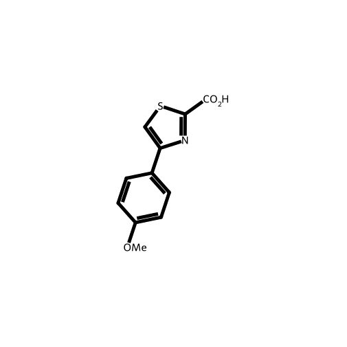 COc1ccc(-c2csc(C(=O)O)n2)cc1